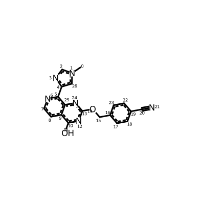 Cn1cnc(-c2nccc3c(O)nc(OCc4ccc(C#N)cc4)nc23)c1